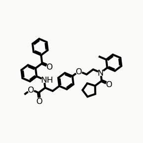 COC(=O)C(Cc1ccc(OCCN(C(=O)C2CCCC2)c2ccccc2C)cc1)Nc1ccccc1C(=O)c1ccccc1